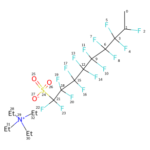 CC(F)C(F)(F)C(F)(F)C(F)(F)C(F)(F)C(F)(F)C(F)(F)C(F)(F)S(=O)(=O)[O-].CC[N+](CC)(CC)CC